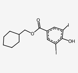 O=C(OCC1CCCCC1)c1cc(I)c(O)c(I)c1